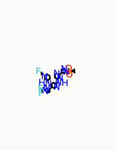 O=S(=O)(C1CC1)n1cc(-c2nccc(Nc3cc(NC4CCCN(CCF)C4)c(-c4ccn(C(F)F)n4)cn3)n2)cn1